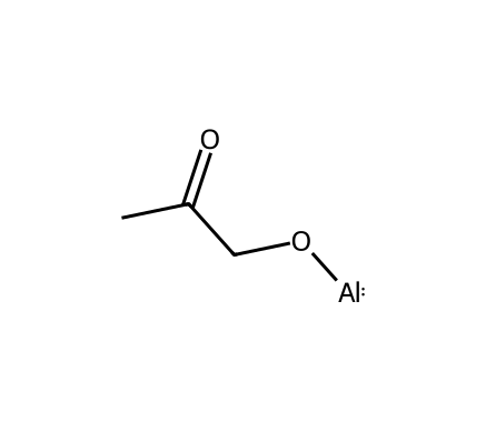 CC(=O)C[O][Al]